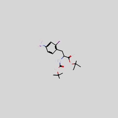 CC(C)(C)OC(=O)NC(Cc1ccc([N+](=O)[O-])cc1I)C(=O)OC(C)(C)C